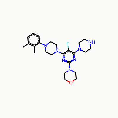 Cc1cccc(N2CCN(c3nc(N4CCOCC4)nc(N4CCNCC4)c3F)CC2)c1C